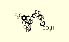 CCC1CC(N(Cc2cc(C(F)(F)F)cc(C(F)(F)F)c2)c2ncc(N3CCN(C)C3=O)cn2)CN1c1nc(N2CCC(C(=O)O)CC2)ncc1Cl